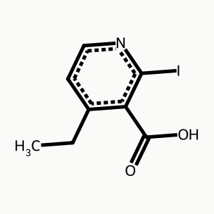 CCc1ccnc(I)c1C(=O)O